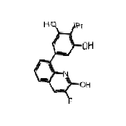 CC(C)c1c(O)cc(-c2cccc3cc(F)c(O)nc23)cc1O